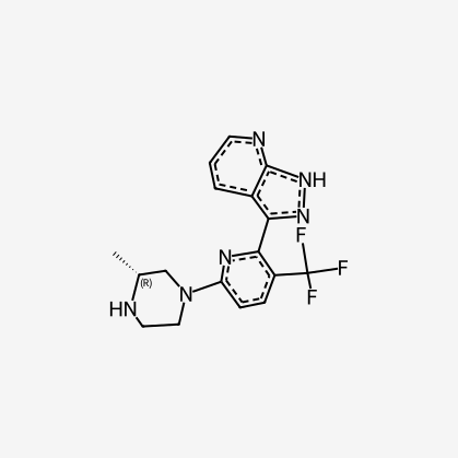 C[C@@H]1CN(c2ccc(C(F)(F)F)c(-c3n[nH]c4ncccc34)n2)CCN1